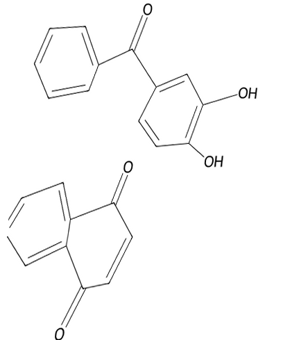 O=C(c1ccccc1)c1ccc(O)c(O)c1.O=C1C=CC(=O)c2ccccc21